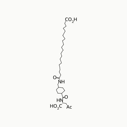 CC(=O)C[C@@H](NC(=O)C1CCC(CNC(=O)CCCCCCCCCCCCCCCCCCC(=O)O)CC1)C(=O)O